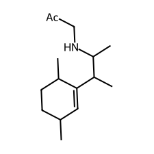 CC(=O)CNC(C)C(C)C1=CC(C)CCC1C